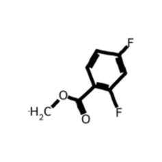 [CH2]OC(=O)c1ccc(F)cc1F